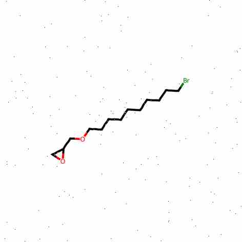 BrCCCCCCCCCCOCC1CO1